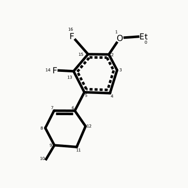 CCOc1ccc(C2=CCC(C)CC2)c(F)c1F